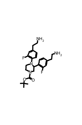 CC(C)(C)OC(=O)N1CCN(c2ccc(CCN)cc2F)C(c2ccc(CCN)cc2F)C1